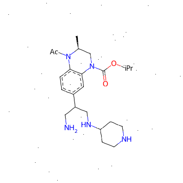 CC(=O)N1c2ccc(C(CN)CNC3CCNCC3)cc2N(C(=O)OC(C)C)C[C@@H]1C